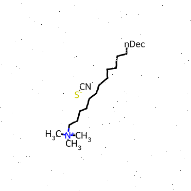 CCCCCCCCCCCCCCCCCCCCCC[N+](C)(C)C.N#C[S-]